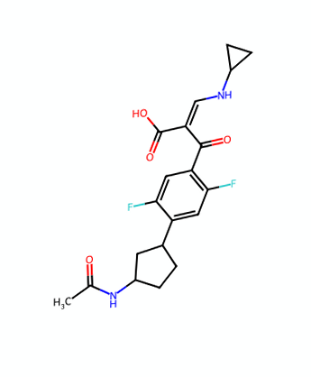 CC(=O)NC1CCC(c2cc(F)c(C(=O)/C(=C\NC3CC3)C(=O)O)cc2F)C1